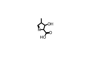 CC1C=NC(C(=O)O)C1O